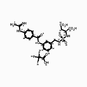 N=C(N)Nc1ccc(C(=O)Oc2cccc(CNS(=O)(=O)N[C@@H](CC(=O)O)C(=O)O)c2)cc1.O=C(O)C(F)(F)F